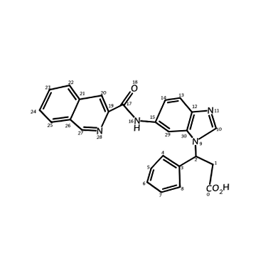 O=C(O)CC(c1ccccc1)n1cnc2ccc(NC(=O)c3cc4ccccc4cn3)cc21